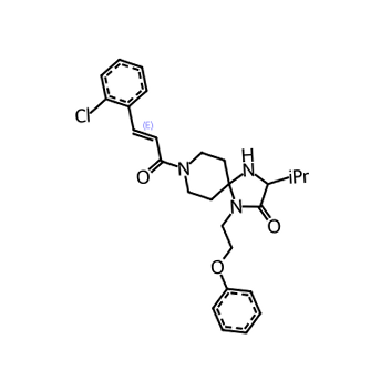 CC(C)C1NC2(CCN(C(=O)/C=C/c3ccccc3Cl)CC2)N(CCOc2ccccc2)C1=O